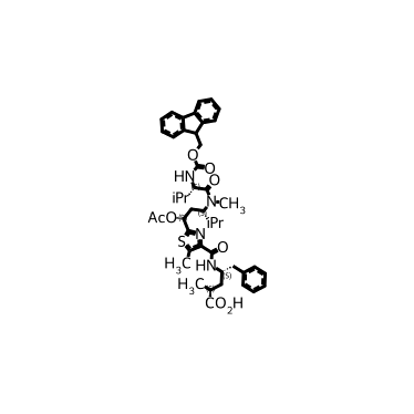 CC(=O)O[C@H](C[C@@H](C(C)C)N(C)C(=O)[C@@H](NC(=O)OCC1c2ccccc2-c2ccccc21)C(C)C)c1nc(C(=O)N[C@H](Cc2ccccc2)C[C@H](C)C(=O)O)c(C)s1